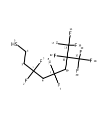 FC(F)(CCS)CC(F)(F)CC(F)(C(F)(F)F)C(F)(F)F